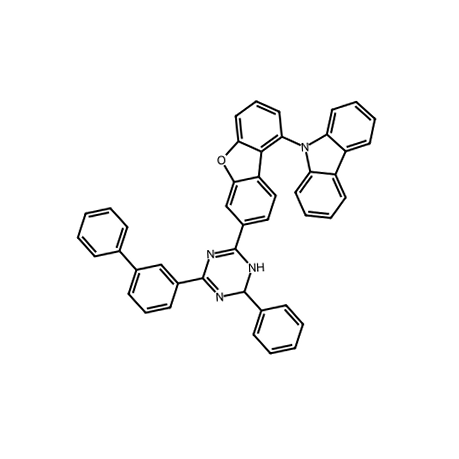 c1ccc(-c2cccc(C3=NC(c4ccccc4)NC(c4ccc5c(c4)oc4cccc(-n6c7ccccc7c7ccccc76)c45)=N3)c2)cc1